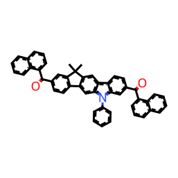 CC1(C)c2cc(C(=O)c3cccc4ccccc34)ccc2-c2cc3c(cc21)c1ccc(C(=O)c2cccc4ccccc24)cc1n3-c1ccccc1